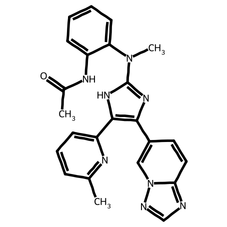 CC(=O)Nc1ccccc1N(C)c1nc(-c2ccc3ncnn3c2)c(-c2cccc(C)n2)[nH]1